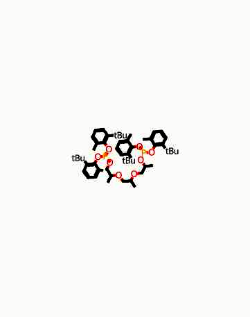 Cc1cccc(C(C)(C)C)c1OP(OCC(C)OCC(C)OCC(C)OP(Oc1c(C)cccc1C(C)(C)C)Oc1c(C)cccc1C(C)(C)C)Oc1c(C)cccc1C(C)(C)C